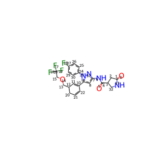 O=C1C[C@H](C(=O)Nc2cc(C3=CC(COCC(F)(F)F)CC=C3)n(-c3ccc(F)cc3)n2)CN1